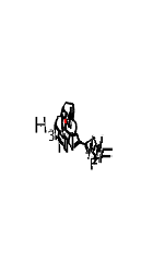 CC(=O)N1C2CCC1CN(c1ncnn3cc(-c4cnn(C(F)F)c4)cc13)C2